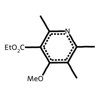 CCOC(=O)c1c(C)nc(C)c(C)c1OC